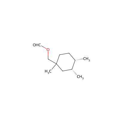 C[C@@H]1CC(C)(COC=O)CC[C@@H]1C